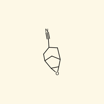 N#CC1CC2CC(C1)C1OC21